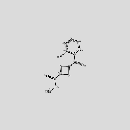 CC(C)(C)OC(=O)N1CC(C(=O)c2nccnc2F)C1